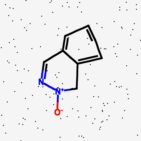 [O-][N+]1Cc2ccccc2C=N1